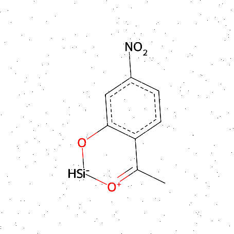 CC1=[O+][SiH-]Oc2cc([N+](=O)[O-])ccc21